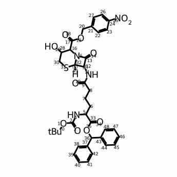 CC(C)(C)OC(=O)NC(CCCC(=O)N[C@@H]1C(=O)N2C(C(=O)OCc3ccc([N+](=O)[O-])cc3)C(O)CS[C@@H]12)C(=O)OC(c1ccccc1)c1ccccc1